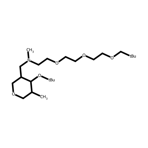 CC1COCC(CN(C)CCOCCOCCOCC(C)(C)C)C1OC(C)(C)C